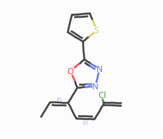 C=C(Cl)/C=C\C(=C/C)c1nnc(-c2cccs2)o1